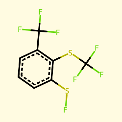 FSc1cccc(C(F)(F)F)c1SC(F)(F)F